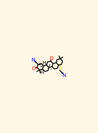 CC1(C)CC[C@]2(SCC#N)CC[C@]3(C)C(C(=O)C[C@@H]4[C@@]5(C)C=C(C#N)C(=O)C(C)(C)[C@@H]5CC[C@]43C)C2C1